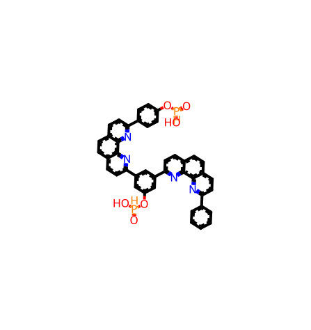 O=[PH](O)Oc1ccc(-c2ccc3ccc4ccc(-c5cc(O[PH](=O)O)cc(-c6ccc7ccc8ccc(-c9ccccc9)nc8c7n6)c5)nc4c3n2)cc1